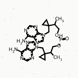 CC(CO[PH](=O)OCC(C)C1(Cn2cnc3c(N)ncnc32)CC1)C1(Cn2cnc3c(N)ncnc32)CC1